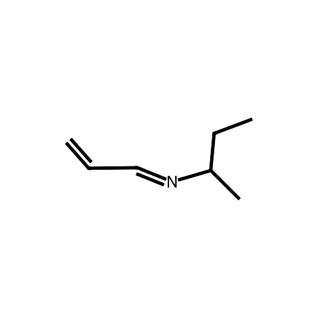 C=C/C=N/C(C)CC